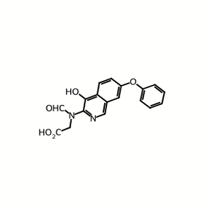 O=CN(CC(=O)O)c1ncc2cc(Oc3ccccc3)ccc2c1O